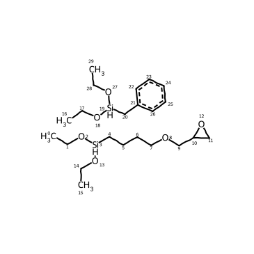 CCO[SiH](CCCCOCC1CO1)OCC.CCO[SiH](Cc1ccccc1)OCC